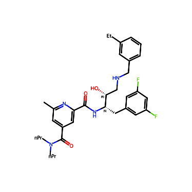 CCCN(CCC)C(=O)c1cc(C)nc(C(=O)N[C@@H](Cc2cc(F)cc(F)c2)[C@H](O)CNCc2cccc(CC)c2)c1